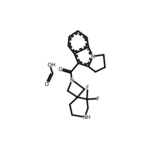 O=C(c1c2n(c3ccccc13)CCC2)N1CC2(CCNCC2(F)F)C1.O=CO